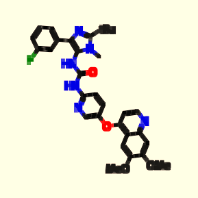 COc1cc2nccc(Oc3ccc(NC(=O)Nc4c(-c5cccc(F)c5)nc(C(C)(C)C)n4C)nc3)c2cc1OC